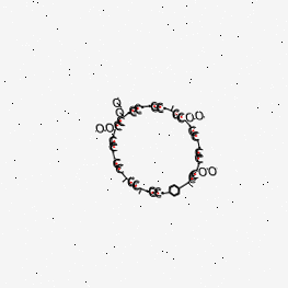 COCOC12CCC(C)(CC1)c1ccc(cc1)-c1ccc(cc1)C1(C)CCC(C)(CC1)c1ccc(cc1)-c1ccc(cc1)C1(OCOC)CCC(OCOC)(CC1)c1ccc(cc1)-c1ccc(cc1)C1(C)CCC(OCOC)(CC1)c1ccc(cc1)-c1ccc2cc1